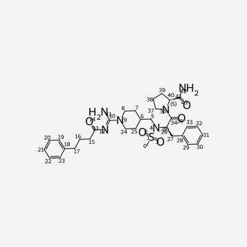 CS(=O)(=O)N(CC1CCN(C(N)=NC(=O)CCCc2ccccc2)CC1)[C@H](Cc1ccccc1)C(=O)N1CCC[C@H]1C(N)=O